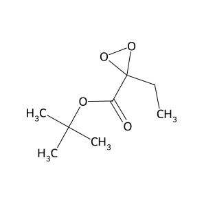 CCC1(C(=O)OC(C)(C)C)OO1